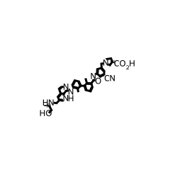 Cc1c(Nc2nccc3cc(CN[C@H](C)CO)cnc23)cccc1-c1cccc(-c2nc3cc(CN4CC[C@@H](C(=O)O)C4)cc(C#N)c3o2)c1C